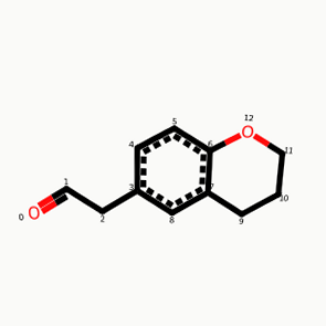 O=CCc1ccc2c(c1)CCCO2